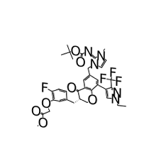 CCn1cc(-c2cc(Cn3ccn(C)/c3=N/C(=O)OC(C)(C)C)cc3c2OC[C@H](Cc2ccc(F)c(OCC(=O)OC)c2)C3=O)c(C(F)(F)F)n1